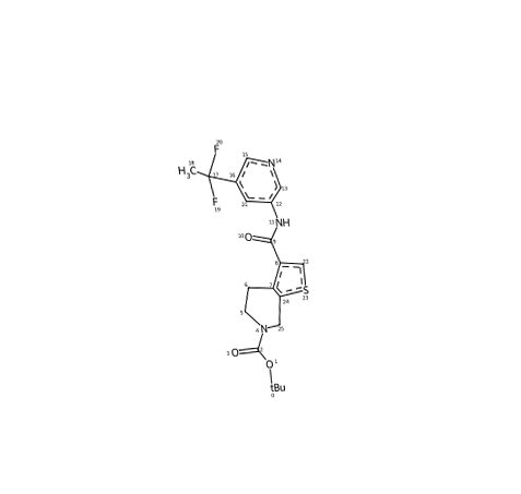 CC(C)(C)OC(=O)N1CCc2c(C(=O)Nc3cncc(C(C)(F)F)c3)csc2C1